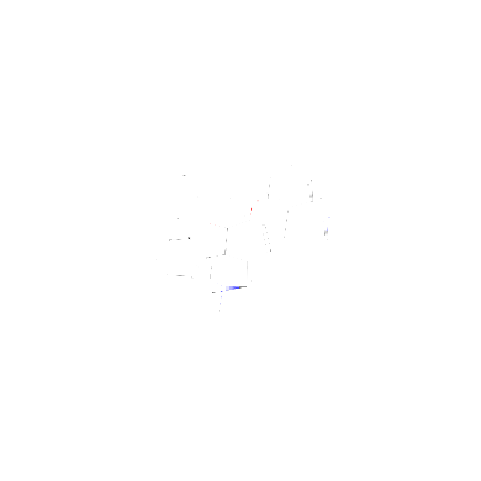 CN1CC[C@]23C4=C5C=CC(O)C4(CCCS(=O)(=O)O)O[C@H]2[C@@H](O)C=C[C@H]3[C@H]1C5.c1ccc2ncccc2c1